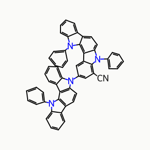 N#Cc1cc(-n2c3ccccc3c3c2ccc2c4ccccc4n(-c4ccccc4)c23)cc2c3c(ccc4c5ccccc5n(-c5ccccc5)c43)n(-c3ccccc3)c12